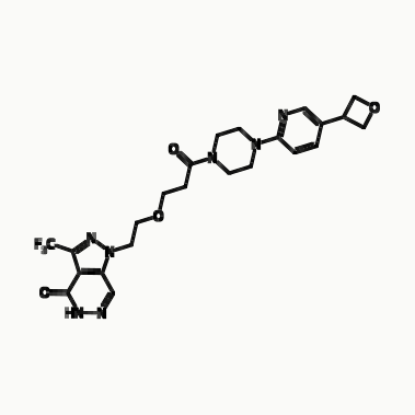 O=C(CCOCCn1nc(C(F)(F)F)c2c(=O)[nH]ncc21)N1CCN(c2ccc(C3COC3)cn2)CC1